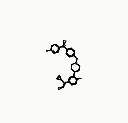 Cc1ccc([S+]([O-])c2ccc(CN3CCC(c4cc(N(C=O)C5CC5)ccc4C)CC3)cc2)cc1